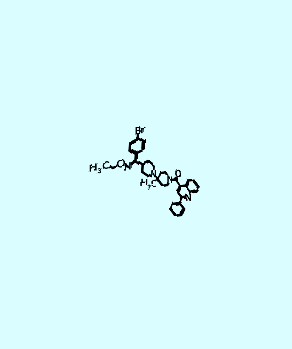 CCON=C(c1ccc(Br)cc1)C1CCN(C2(C)CCN(C(=O)c3cc(-c4ccccc4)nc4ccccc34)CC2)CC1